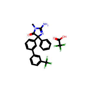 CN1C(=O)C(c2ccccc2)(c2cccc(-c3cccc(C(F)(F)F)c3)c2)N=C1N.O=C(O)C(F)(F)F